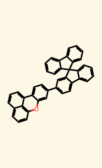 c1ccc2c(c1)-c1ccccc1C21c2ccccc2-c2ccc(-c3ccc4c(c3)Oc3cccc5cccc-4c35)cc21